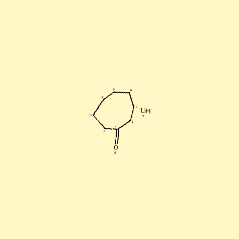 O=C1CCCCCCC1.[LiH]